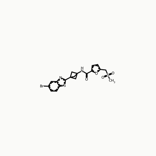 CS(=O)(=O)Cc1ccc(C(=O)NC23CC(c4nc5cc(Br)ccc5s4)(C2)C3)o1